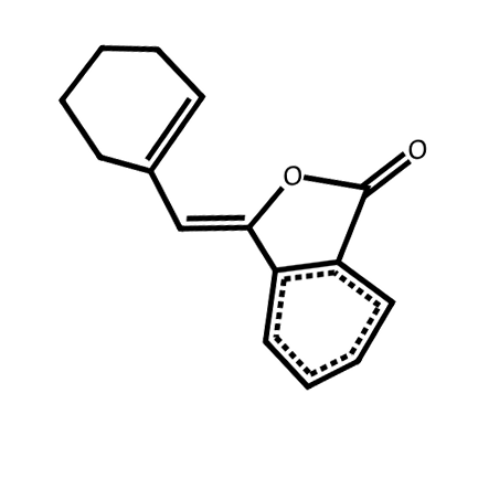 O=C1O/C(=C\C2=CCCCC2)c2ccccc21